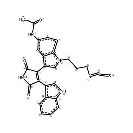 CC(=O)Nc1ccc2c(c1)c(C1=C(c3c[nH]c4ccccc34)C(=O)NC1=O)cn2CCCN=C=S